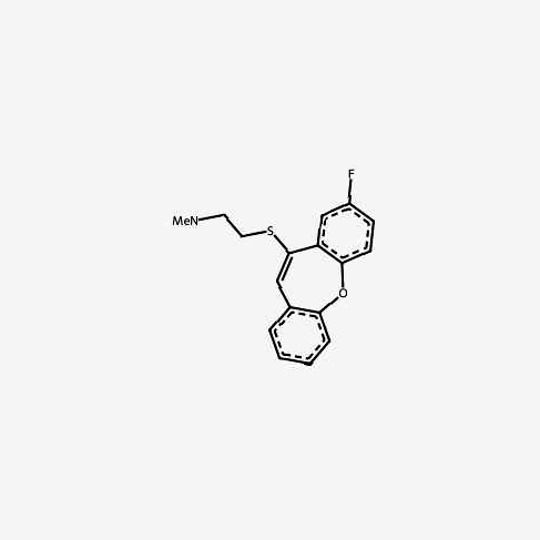 CNCCSC1=Cc2ccccc2Oc2ccc(F)cc21